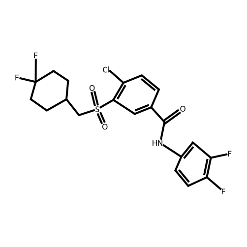 O=C(Nc1ccc(F)c(F)c1)c1ccc(Cl)c(S(=O)(=O)CC2CCC(F)(F)CC2)c1